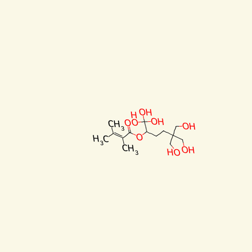 CC(C)=C(C)C(=O)OC(CCC(CO)(CO)CO)C(O)(O)O